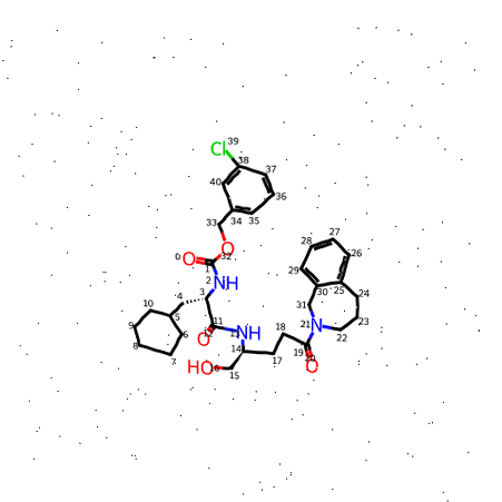 O=C(N[C@@H](CC1CCCCC1)C(=O)N[C@H](CO)CCC(=O)N1CCCc2ccccc2C1)OCc1cccc(Cl)c1